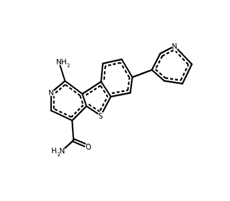 NC(=O)c1cnc(N)c2c1sc1cc(-c3cccnc3)ccc12